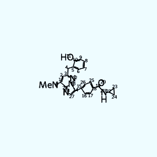 CNc1cc(Cc2ccccc2O)nn2c(-c3ccc(C(=O)NC4CC4)cc3)cnc12